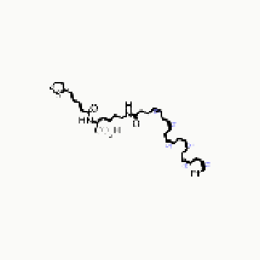 CC/C=C\C/C=C\C/C=C\C/C=C\C/C=C\C/C=C\CCC(=O)NCCCC[C@H](NC(=O)CCCC[C@@H]1CCSS1)C(=O)O